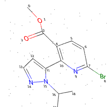 COC(=O)c1ccc(Br)nc1-c1ccnn1C(C)C